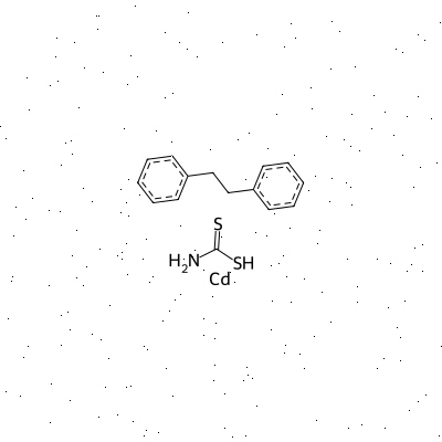 NC(=S)S.[Cd].c1ccc(CCc2ccccc2)cc1